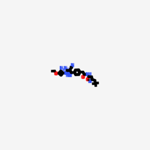 CCO[C@H]1C[C@@H](N/C(N)=C(/C#N)C(=N)c2ccc(CC(=O)Nc3cc(CC(C)(C)C)no3)cc2)C1